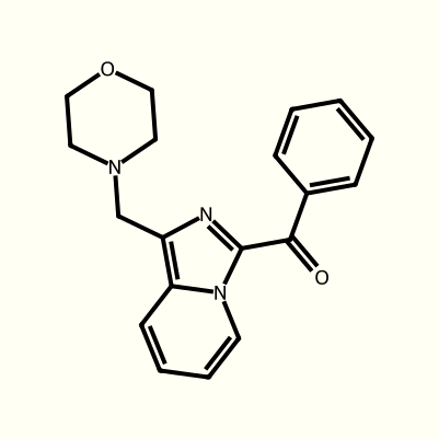 O=C(c1ccccc1)c1nc(CN2CCOCC2)c2ccccn12